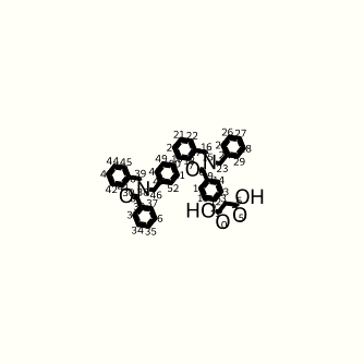 O=C(O)CC(=O)O.O=C(c1ccccc1)N(Cc1ccccc1)Cc1ccccc1.O=C(c1ccccc1)N(Cc1ccccc1)Cc1ccccc1